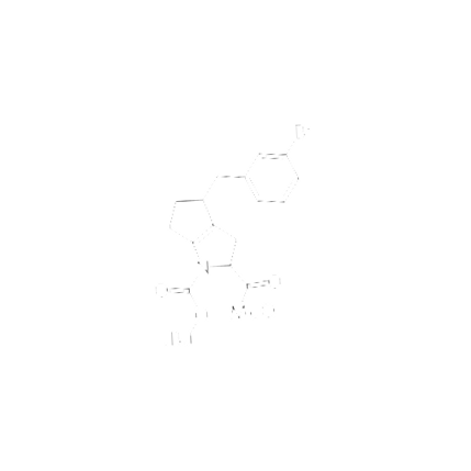 COC(=O)C1CC2=C(CCC2Cc2cccc(Br)c2)N1C(=O)OC(C)(C)C